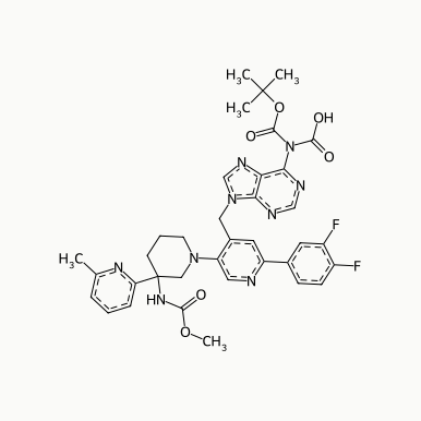 COC(=O)NC1(c2cccc(C)n2)CCCN(c2cnc(-c3ccc(F)c(F)c3)cc2Cn2cnc3c(N(C(=O)O)C(=O)OC(C)(C)C)ncnc32)C1